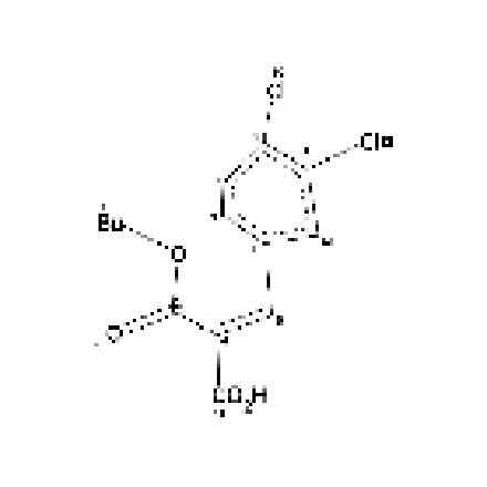 CCC(C)OC(=O)C(=Cc1ccc(Cl)c(Cl)c1)C(=O)O